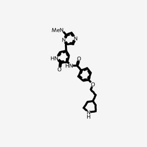 CNc1cncc(-c2c[nH]c(=O)c(NC(=O)c3ccc(OCCC4CCNCC4)cc3)c2)n1